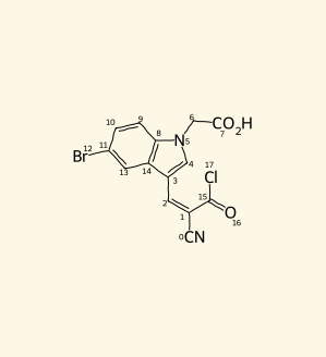 N#CC(=Cc1cn(CC(=O)O)c2ccc(Br)cc12)C(=O)Cl